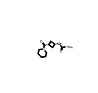 COC(=O)N[C@H]1C[C@@H](C(=O)N2CCCCC2)C1